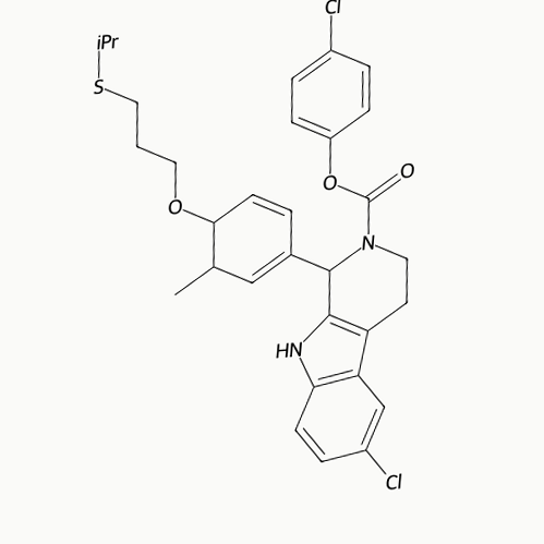 CC(C)SCCCOC1C=CC(C2c3[nH]c4ccc(Cl)cc4c3CCN2C(=O)Oc2ccc(Cl)cc2)=CC1C